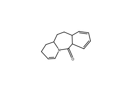 O=C1C2C=CC=CC2CCC2CCC=CN12